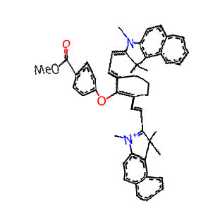 COC(=O)c1ccc(OC2=C(/C=C/C3=[N+](C)c4ccc5ccccc5c4C3(C)C)CCC/C2=C\C=C2\N(C)c3ccc4ccccc4c3C2(C)C)cc1